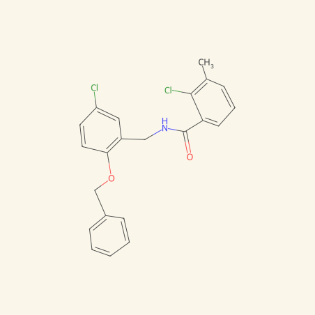 Cc1cccc(C(=O)NCc2cc(Cl)ccc2OCc2ccccc2)c1Cl